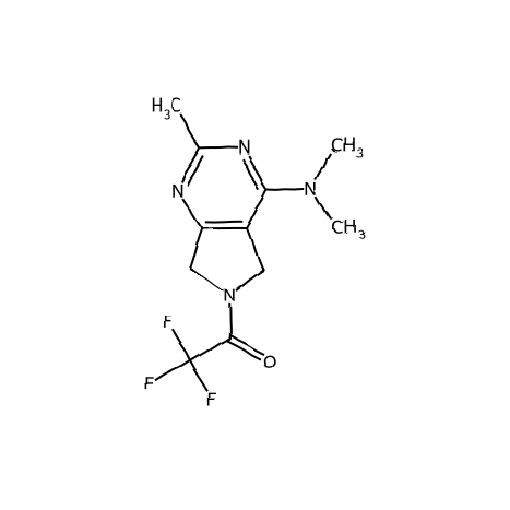 Cc1nc2c(c(N(C)C)n1)CN(C(=O)C(F)(F)F)C2